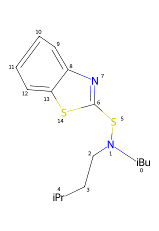 CCC(C)N(CCC(C)C)Sc1nc2ccccc2s1